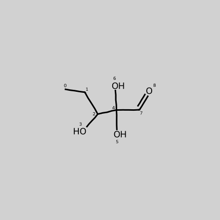 CCC(O)C(O)(O)C=O